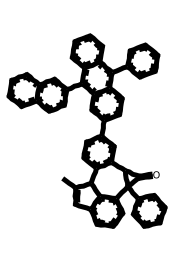 CC1=Cc2cccc3c2C1c1ccc(-c2ccc4c(-c5ccccc5)c5ccccc5c(-c5ccc6ccccc6c5)c4c2)cc1C1C(=O)C31c1ccccc1